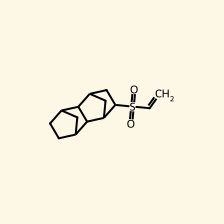 C=CS(=O)(=O)C1CC2CC1C1C3CCC(C3)C21